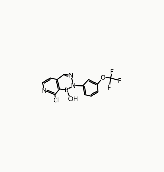 OB1c2c(ccnc2Cl)C=NN1c1cccc(OC(F)(F)F)c1